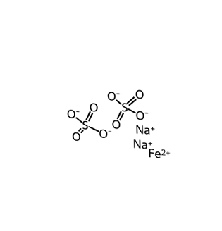 O=S(=O)([O-])[O-].O=S(=O)([O-])[O-].[Fe+2].[Na+].[Na+]